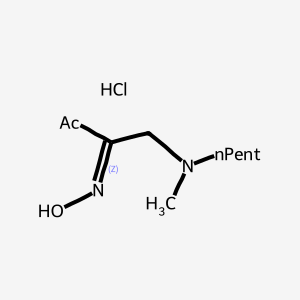 CCCCCN(C)C/C(=N/O)C(C)=O.Cl